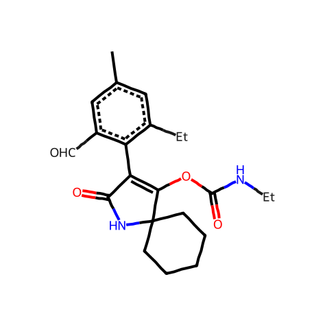 CCNC(=O)OC1=C(c2c(C=O)cc(C)cc2CC)C(=O)NC12CCCCC2